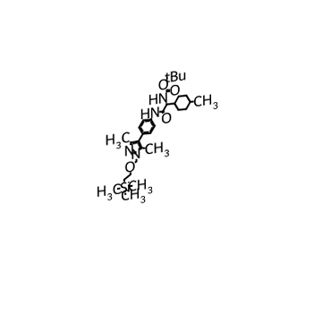 Cc1nn(COCC[Si](C)(C)C)c(C)c1-c1ccc(NC(=O)[C@@H](NC(=O)OC(C)(C)C)C2CCC(C)CC2)cc1